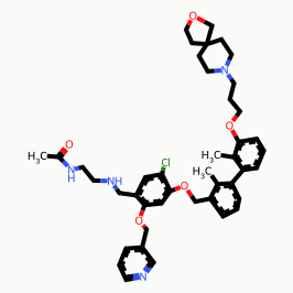 CC(=O)NCCNCc1cc(Cl)c(OCc2cccc(-c3cccc(OCCCN4CCC5(CCOC5)CC4)c3C)c2C)cc1OCc1cccnc1